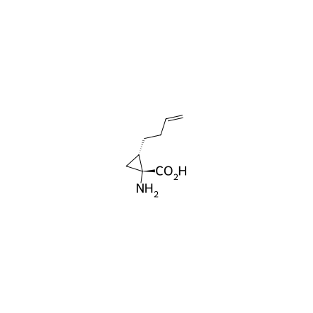 C=CCC[C@H]1C[C@]1(N)C(=O)O